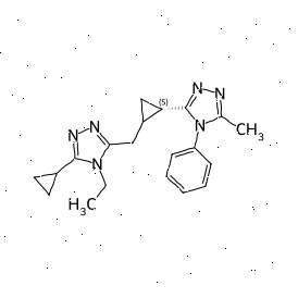 CCn1c(CC2C[C@@H]2c2nnc(C)n2-c2ccccc2)nnc1C1CC1